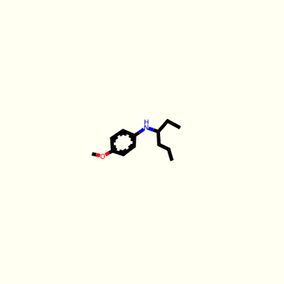 CCCC(CC)Nc1ccc(OC)cc1